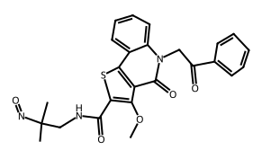 COc1c(C(=O)NCC(C)(C)N=O)sc2c1c(=O)n(CC(=O)c1ccccc1)c1ccccc21